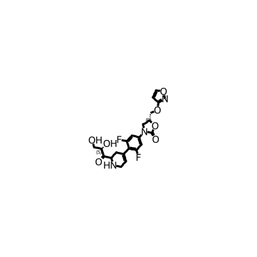 O=C(C1CC(c2c(F)cc(N3C[C@H](COc4ccon4)OC3=O)cc2F)=CCN1)[C@@H](O)CO